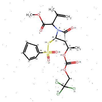 C=C(C)C(C(=O)OC)N1C(=O)[C@H]([C@@H](C)OC(=O)OCC(Cl)(Cl)Cl)[C@H]1SS(=O)(=O)c1ccccc1